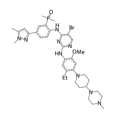 CCc1cc(Nc2ncc(Br)c(Nc3ccc(-c4cc(C)n(C)n4)cc3P(C)(C)=O)n2)c(OC)cc1N1CCC(N2CCN(C)CC2)CC1